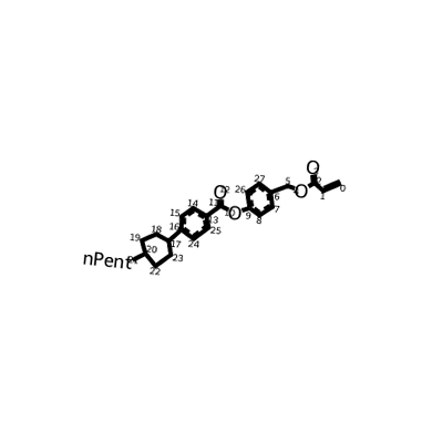 C=CC(=O)OCc1ccc(OC(=O)c2ccc(C3CCC(CCCCC)CC3)cc2)cc1